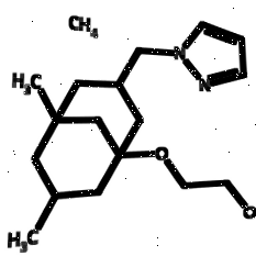 C.CC1CC2(C)CC(Cn3cccn3)CC(OCCO)(C1)C2